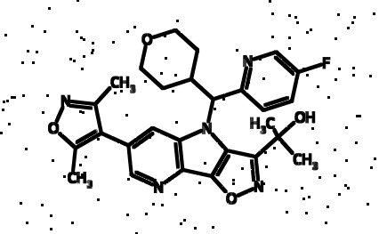 Cc1noc(C)c1-c1cnc2c3onc(C(C)(C)O)c3n(C(c3ccc(F)cn3)C3CCOCC3)c2c1